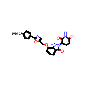 COc1ccc(-c2ncc(COc3cccc4c(=O)n(C5CCC(=O)NC5=O)[nH]c34)o2)cc1